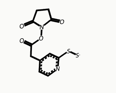 O=C(Cc1ccnc(S[S])c1)ON1C(=O)CCC1=O